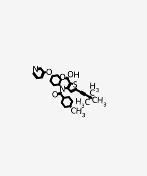 CC1CCC(C(=O)N(c2cc(C#CC(C)(C)C)sc2C(=O)O)C2CCC(Oc3cccnc3)CC2)CC1